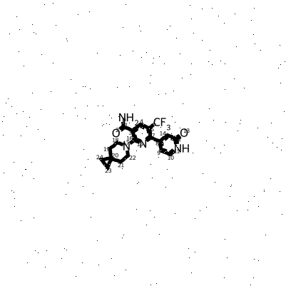 NC(=O)c1cc(C(F)(F)F)c(-c2cc[nH]c(=O)c2)nc1N1CCC2(CC1)CC2